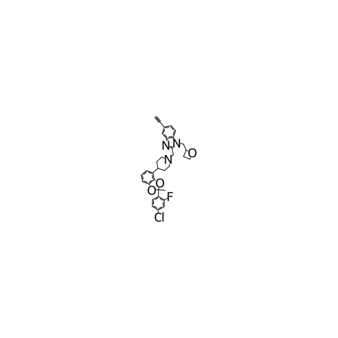 C#Cc1ccc2c(c1)nc(CN1CCC(c3cccc4c3OC(C)(c3ccc(Cl)cc3F)O4)CC1)n2CC1CCO1